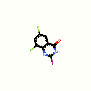 O=c1[nH]c(I)nc2c(F)cc(F)cc12